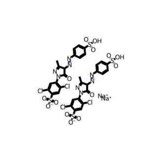 CC1=NN(c2cc(Cl)c(S(=O)(=O)[O-])cc2Cl)C(=O)C1/N=N/c1ccc(S(=O)(=O)O)cc1.CC1=NN(c2cc(Cl)c(S(=O)(=O)[O-])cc2Cl)C(=O)C1/N=N/c1ccc(S(=O)(=O)O)cc1.[Na+].[Na+]